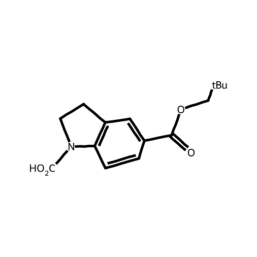 CC(C)(C)COC(=O)c1ccc2c(c1)CCN2C(=O)O